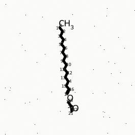 CCCCCCCCCCCCCCCCC=COCC1CO1